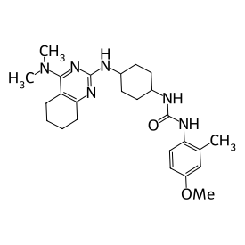 COc1ccc(NC(=O)NC2CCC(Nc3nc4c(c(N(C)C)n3)CCCC4)CC2)c(C)c1